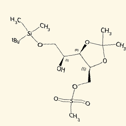 CC1(C)O[C@H]([C@@H](O)CO[Si](C)(C)C(C)(C)C)[C@H](COS(C)(=O)=O)O1